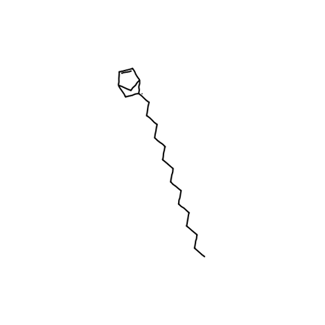 CCCCCCCCCCCCCCC[C]1CC2C=CC1C2